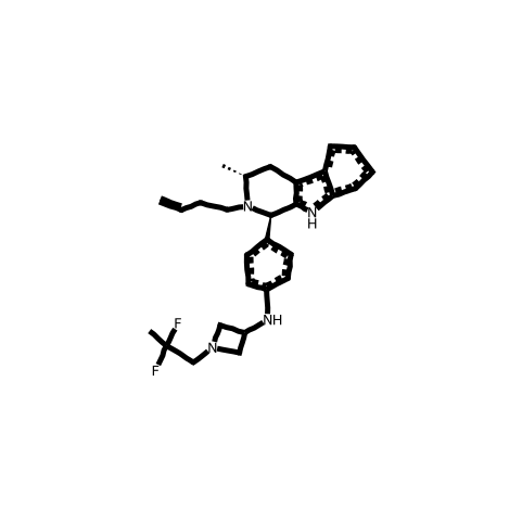 C=CCCN1[C@H](c2ccc(NC3CN(CC(C)(F)F)C3)cc2)c2[nH]c3ccccc3c2C[C@H]1C